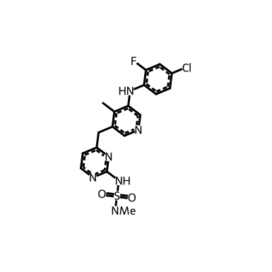 CNS(=O)(=O)Nc1nccc(Cc2cncc(Nc3ccc(Cl)cc3F)c2C)n1